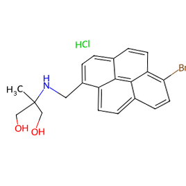 CC(CO)(CO)NCc1ccc2ccc3c(Br)ccc4ccc1c2c43.Cl